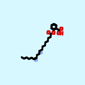 CCCCC/C=C\C/C=C/CCCCCCCC(=O)Oc1ccccc1C(=O)O